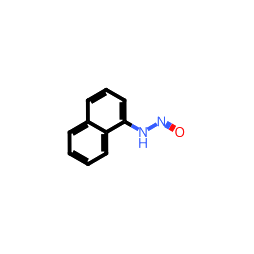 O=NNc1cccc2ccccc12